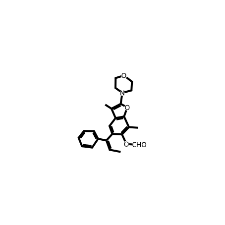 C/C=C(/c1ccccc1)c1cc2c(C)c(N3CCOCC3)oc2c(C)c1OC=O